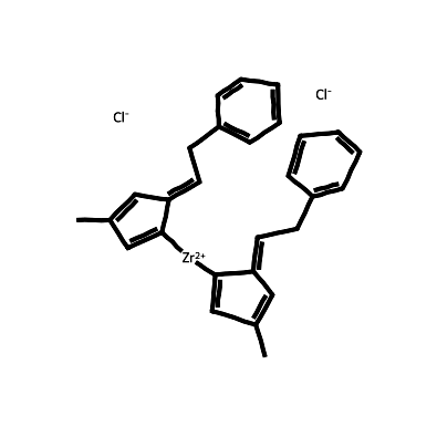 CC1=CC(=CCc2ccccc2)[C]([Zr+2][C]2=CC(C)=CC2=CCc2ccccc2)=C1.[Cl-].[Cl-]